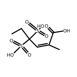 CCC(C=C(C)C(=O)O)(S(=O)(=O)O)S(=O)(=O)O